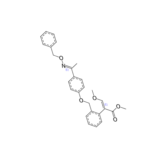 CO/C=C(/C(=O)OC)c1ccccc1COc1ccc(/C(C)=N/OCc2ccccc2)cc1